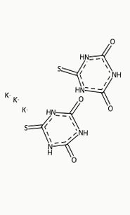 O=c1[nH]c(=O)[nH]c(=S)[nH]1.O=c1[nH]c(=O)[nH]c(=S)[nH]1.[K].[K].[K]